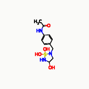 CC(=O)Nc1ccc(CN2CC(O)NS2(O)O)cc1